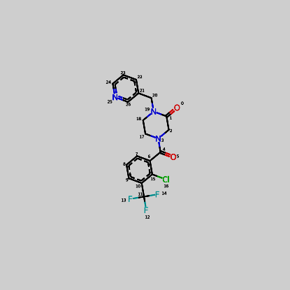 O=C1CN(C(=O)c2cccc(C(F)(F)F)c2Cl)CCN1Cc1cccnc1